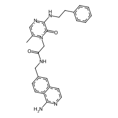 Cc1cnc(NCCc2ccccc2)c(=O)n1CC(=O)NCc1ccc2c(N)nccc2c1